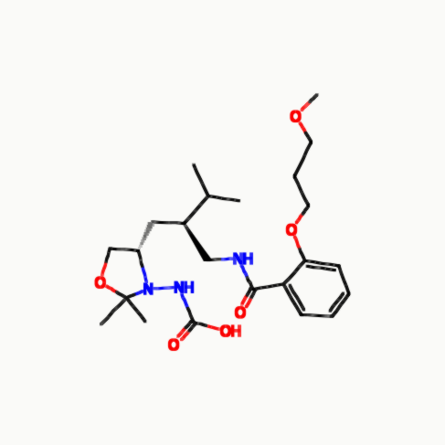 COCCCOc1ccccc1C(=O)NC[C@@H](C[C@H]1COC(C)(C)N1NC(=O)O)C(C)C